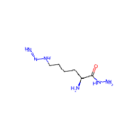 N=NNCCCC[C@H](N)C(=O)NN